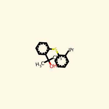 CC(C)c1ccccc1Sc1ccccc1C(C)(C)O